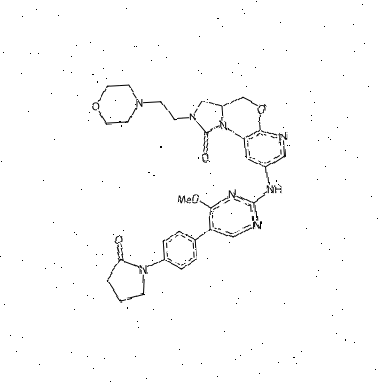 COc1nc(Nc2cnc3c(c2)N2C(=O)N(CCN4CCOCC4)CC2CO3)ncc1-c1ccc(N2CCCC2=O)cc1